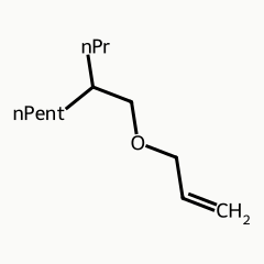 C=CCOCC(CCC)CCCCC